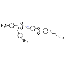 Nc1ccc(CC(Cc2ccc(N)cc2)OC(=O)/C=C/c2ccc(OC(=O)c3ccc(OCCCC(F)(F)F)cc3)cc2)cc1